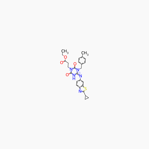 CCOC(=O)CCn1c(=O)[nH]/c(=N\c2ccc3nc(C4CC4)sc3c2)n(Cc2ccc(C)cc2)c1=O